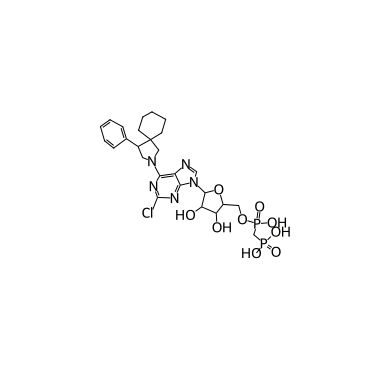 O=P(O)(O)CP(=O)(O)OCC1OC(n2cnc3c(N4CC(c5ccccc5)C5(CCCCC5)C4)nc(Cl)nc32)C(O)C1O